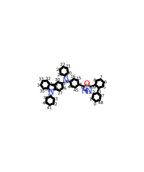 c1ccc(-c2ccccc2-c2nnc(-c3ccc(N(c4ccccc4)c4ccc5c(c4)c4ccccc4n5-c4ccccc4)cc3)o2)cc1